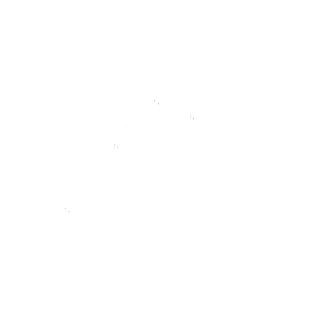 O=C(NCc1ccncc1)c1cc(-c2cccc(Cl)c2)ncn1